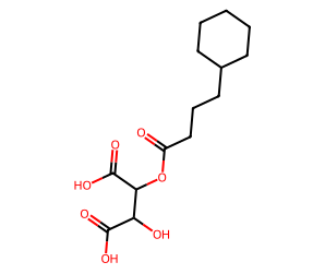 O=C(CCCC1CCCCC1)OC(C(=O)O)C(O)C(=O)O